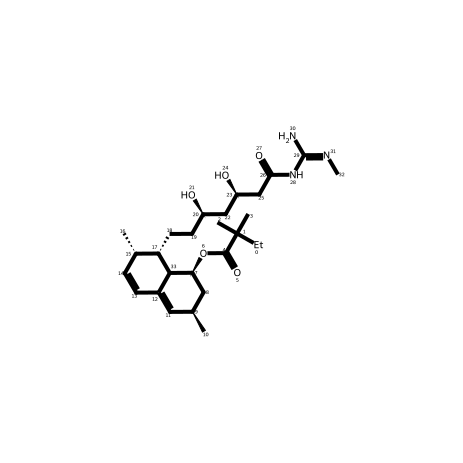 CCC(C)(C)C(=O)O[C@H]1C[C@@H](C)C=C2C=C[C@H](C)[C@H](CC[C@@H](O)C[C@@H](O)CC(=O)N/C(N)=N\C)C21